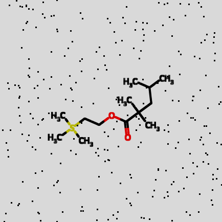 CC(C)CC(C)(C)C(=O)OCCS(C)(C)C